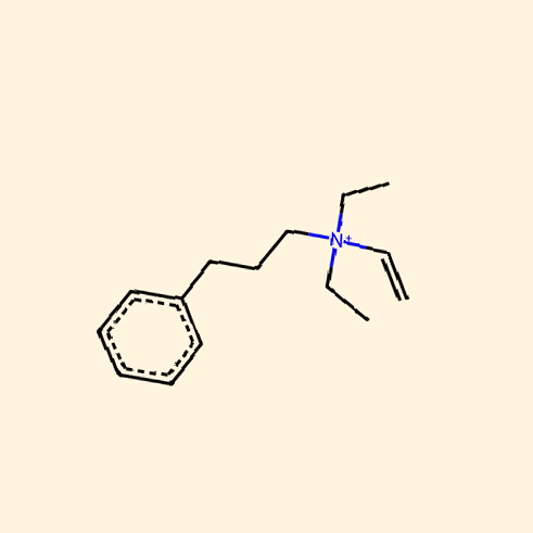 C=C[N+](CC)(CC)CCCc1ccccc1